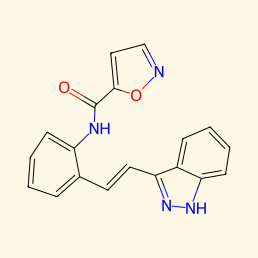 O=C(Nc1ccccc1/C=C/c1n[nH]c2ccccc12)c1ccno1